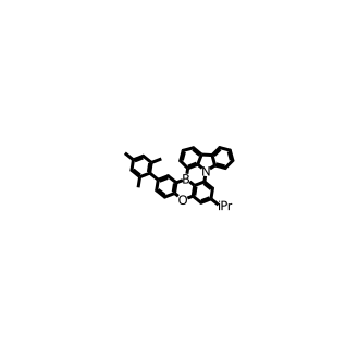 Cc1cc(C)c(-c2ccc3c(c2)B2c4c(cc(C(C)C)cc4-n4c5ccccc5c5cccc2c54)O3)c(C)c1